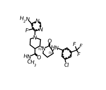 CNC(=O)C1CCN(c2ncnc(N)c2F)C[C@H]1N1CCC[C@H](Nc2cc(Cl)cc(C(F)(F)F)c2)C1=O